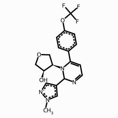 Cn1cc(C2N=CC=C(c3ccc(OC(F)(F)F)cc3)N2[C@@H]2COC[C@@H]2O)cn1